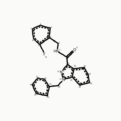 O=C(NCc1ccccc1F)c1nn(Cc2ccccc2)c2ccccc12